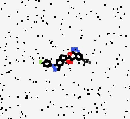 C[C@]12Cc3cnn(-c4ccc(F)cc4)c3C=C1CC[C@@]2(O)CCc1cc(C(F)(F)F)ccc1C(N)=O